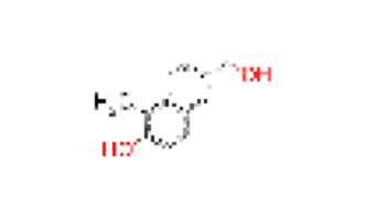 Cc1c(O)ccc2cc(CO)ccc12